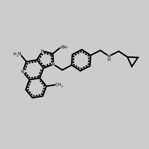 CCCCc1nc2c(N)nc3cccc(C)c3c2n1Cc1ccc(CNCC2CC2)cc1